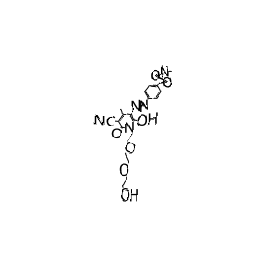 Cc1c(/N=N/c2ccc(S(=O)(=O)N(C)C)cc2)c(O)n(CCOCCOCCO)c(=O)c1C#N